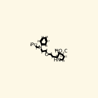 CC(C)CN(CCOCCC1NCCCC1C(=O)O)c1ccccc1